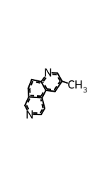 Cc1cnc2ccc3cnccc3c2c1